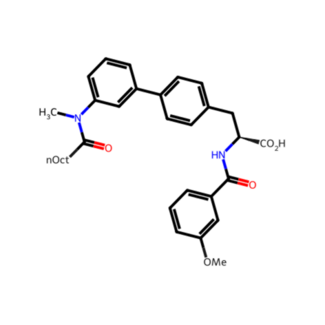 CCCCCCCCC(=O)N(C)c1cccc(-c2ccc(C[C@H](NC(=O)c3cccc(OC)c3)C(=O)O)cc2)c1